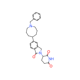 O=C1CCC(N2Cc3cc(C4CCCN(Cc5ccccc5)CCC4)ccc3C2=O)C(=O)N1